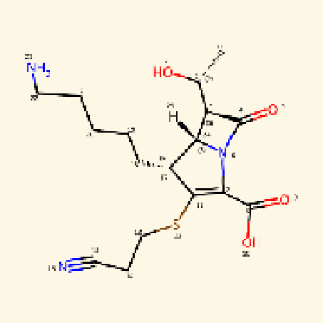 C[C@@H](O)[C@H]1C(=O)N2C(C(=O)O)=C(SCCC#N)[C@H](CCCCCN)[C@H]12